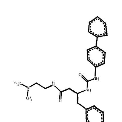 CN(C)CCNC(=O)CC(Cc1ccccc1)NC(=O)Nc1ccc(-c2ccccc2)cc1